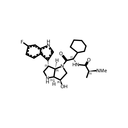 CN[C@@H](C)C(=O)N[C@H](C(=O)N1C[C@@H](O)[C@H]2NC[C@H](c3c[nH]c4cc(F)ccc34)[C@H]21)C1CCCCC1